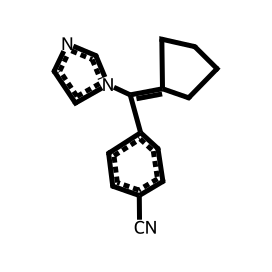 N#Cc1ccc(C(=C2CCCC2)n2ccnc2)cc1